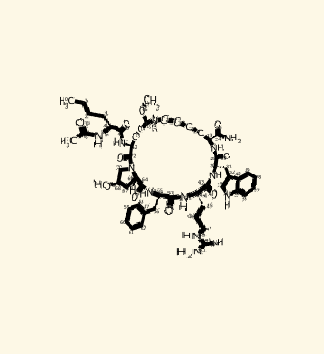 CCCC[C@H](NC(C)=O)C(=O)N[C@H]1CCC(OC)NCCCC[C@@H](C(N)=O)NC(=O)[C@H](Cc2c[nH]c3ccccc23)NC(=O)[C@H](CCCNC(=N)N)NC(=O)[C@@H](Cc2ccccc2)NC(=O)[C@@H]2C[C@@H](O)CN2C1=O